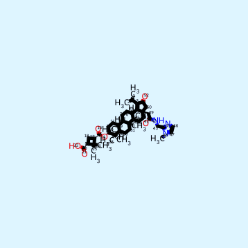 CC(C)C1=C2[C@H]3CC[C@@H]4[C@@]5(C)CC[C@H](OC(=O)[C@H]6C[C@@H](C(=O)O)C6(C)C)C(C)(C)[C@@H]5CC[C@@]4(C)[C@]3(C)CC[C@@]2(CC(=O)NCc2nccn2C)CC1=O